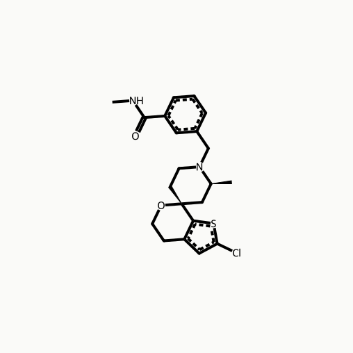 CNC(=O)c1cccc(CN2CC[C@]3(C[C@@H]2C)OCCc2cc(Cl)sc23)c1